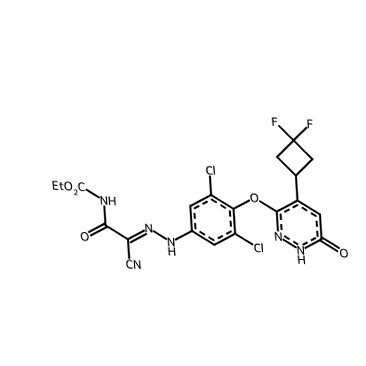 CCOC(=O)NC(=O)/C(C#N)=N/Nc1cc(Cl)c(Oc2n[nH]c(=O)cc2C2CC(F)(F)C2)c(Cl)c1